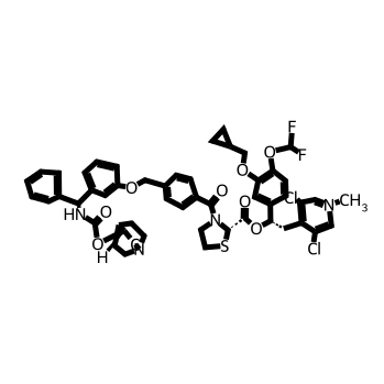 C[n+]1cc(Cl)c(C[C@H](OC(=O)[C@@H]2SCCN2C(=O)c2ccc(COc3cccc([C@@H](NC(=O)O[C@H]4CN5CCC4CC5)c4ccccc4)c3)cc2)c2ccc(OC(F)F)c(OCC3CC3)c2)c(Cl)c1